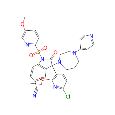 CCOc1nc(Cl)ccc1C1(N2CCCN(c3ccncc3)CC2)C(=O)N(S(=O)(=O)c2ccc(OC)cn2)c2ccc(C#N)cc21